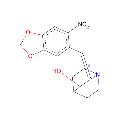 O=[N+]([O-])c1cc2c(cc1/C=C1\C(O)C3CCN1CC3)OCO2